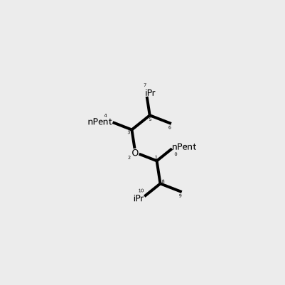 CCCCCC(OC(CCCCC)C(C)C(C)C)C(C)C(C)C